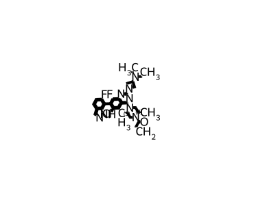 C=CC(=O)N1C[C@H](C)N(c2nc(N3CC(N(CC)CC)C3)nc3c(F)c(-c4c(F)ccc5cn[nH]c45)c(Cl)cc23)C[C@H]1C